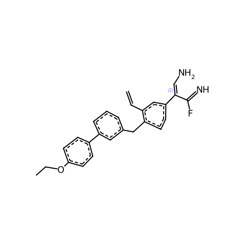 C=Cc1cc(/C(=C/N)C(=N)F)ccc1Cc1cccc(-c2ccc(OCC)cc2)c1